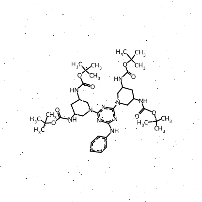 CC(C)(C)OC(=O)NC1CC(NC(=O)OC(C)(C)C)CN(c2nc(Nc3ccccc3)nc(N3CC(NC(=O)OC(C)(C)C)CC(NC(=O)OC(C)(C)C)C3)n2)C1